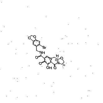 C[C@H]1CO[C@@H]2Cn3cc(C(=O)NCc4cc5c(cc4Br)OCO5)c(=O)c(O)c3C(=O)N12